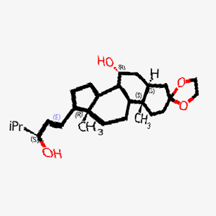 CC(C)[C@H](O)/C=C/C1CCC2C3C(CC[C@]12C)[C@@]1(C)CCC2(C[C@@H]1C[C@H]3O)OCCO2